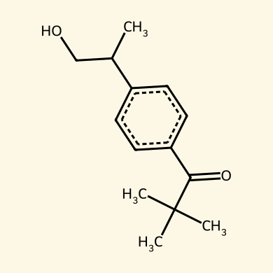 CC(CO)c1ccc(C(=O)C(C)(C)C)cc1